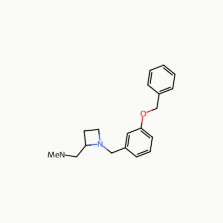 CNCC1CCN1Cc1cccc(OCc2ccccc2)c1